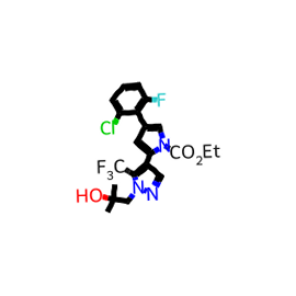 CCOC(=O)n1cc(-c2c(F)cccc2Cl)cc1-c1cnn(CC(C)(C)O)c1C(F)(F)F